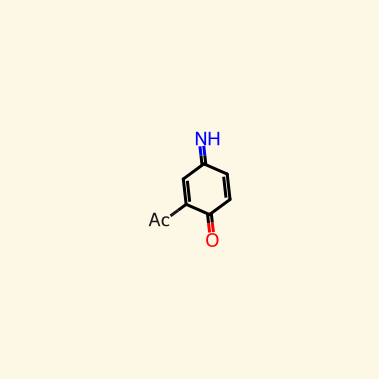 CC(=O)C1=CC(=N)C=CC1=O